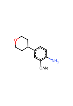 COc1cc(C2CCOCC2)ccc1N